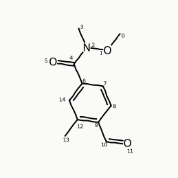 CON(C)C(=O)c1ccc(C=O)c(C)c1